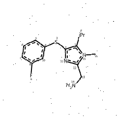 CC(C)c1c(Sc2cccc(F)c2)nc(CN)n1C